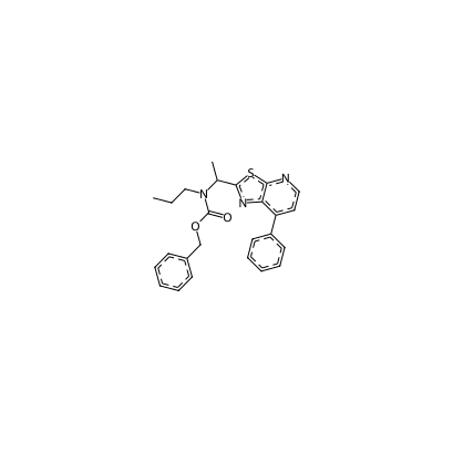 CCCN(C(=O)OCc1ccccc1)C(C)c1nc2c(-c3ccccc3)ccnc2s1